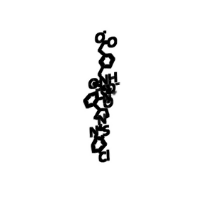 COC(=O)Cc1cccc(CNS(=O)(=O)c2cccc(C3CCN(c4nc5ccc(Cl)cc5s4)C3)c2[N+](=O)[O-])c1